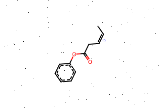 C/C=C\CC(=O)Oc1ccccc1